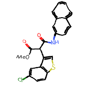 COC(=O)C(C(=O)Nc1ccc2ccccc2c1)c1csc2ccc(Cl)cc12